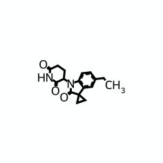 CCc1ccc2c(c1)C1(CC1)C(=O)N2C1CCC(=O)NC1=O